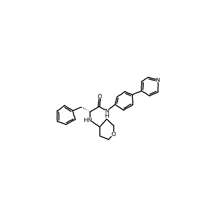 O=C(Nc1ccc(-c2ccncc2)cc1)[C@@H](Cc1ccccc1)NC1CCOCC1